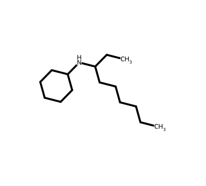 CCCCCCC(CC)NC1CCCCC1